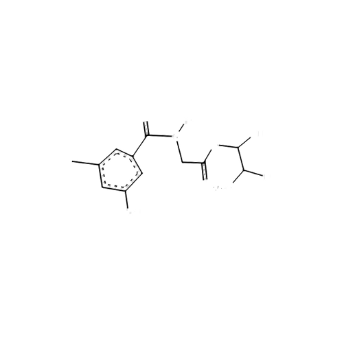 CCCCc1cc(C)cc(C(=O)N(CC(=O)OC(C)C(CC)OC)C(C)C)c1